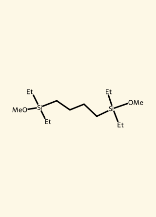 CC[Si](CC)(CCCC[Si](CC)(CC)OC)OC